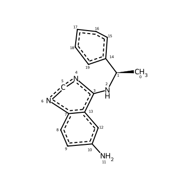 C[C@@H](Nc1ncnc2ccc(N)cc12)c1ccccc1